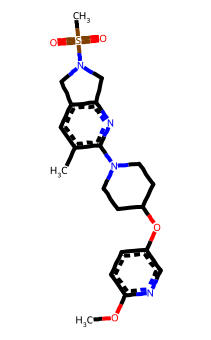 COc1ccc(OC2CCN(c3nc4c(cc3C)CN(S(C)(=O)=O)C4)CC2)cn1